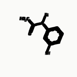 CCN(C(=O)C(=O)O)c1cccc(S)c1